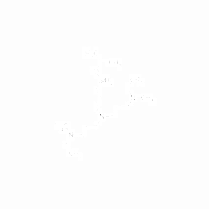 CCN(C)CCCN(CCC[SiH2]OC(C)C)CCCN(C)CC